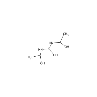 CC(O)NB(O)NC(C)O